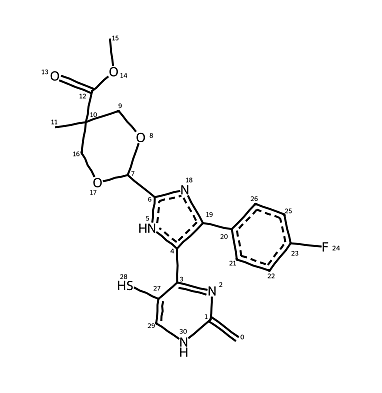 C=C1N=C(c2[nH]c(C3OCC(C)(C(=O)OC)CO3)nc2-c2ccc(F)cc2)C(S)=CN1